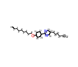 C=CCCCCCCCOc1ccc(-c2ncc(CCCCC(C)CC)cn2)cc1